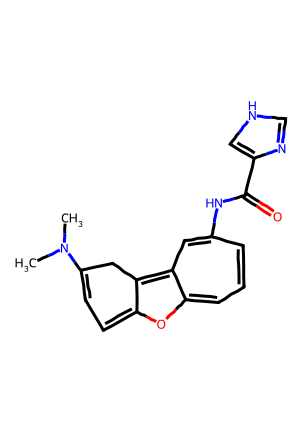 CN(C)C1=CC=c2oc3c(c2C1)C=C(NC(=O)c1c[nH]cn1)C=CC=3